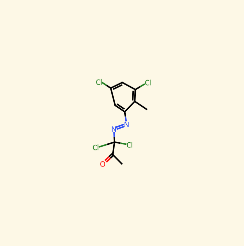 CC(=O)C(Cl)(Cl)N=Nc1cc(Cl)cc(Cl)c1C